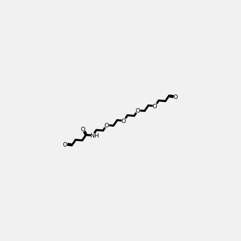 O=CCCOCCOCCOCCOCCNC(=O)CCC=O